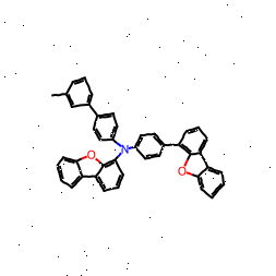 Cc1cccc(-c2ccc(N(c3ccc(-c4cccc5c4oc4ccccc45)cc3)c3cccc4c3oc3ccccc34)cc2)c1